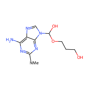 CNc1nc(N)c2ncn(C(O)OCCCO)c2n1